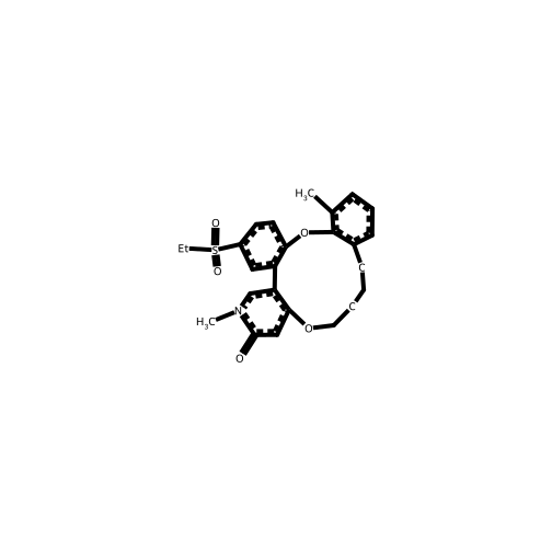 CCS(=O)(=O)c1ccc2c(c1)-c1cn(C)c(=O)cc1OCCCCc1cccc(C)c1O2